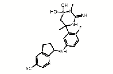 CN1C(=N)NC(C)(c2cc(NC3CCc4cc(C#N)cnc43)ccc2F)CS1(O)O